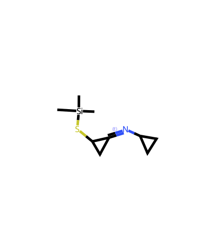 C[Si](C)(C)SC1C/C1=N\C1CC1